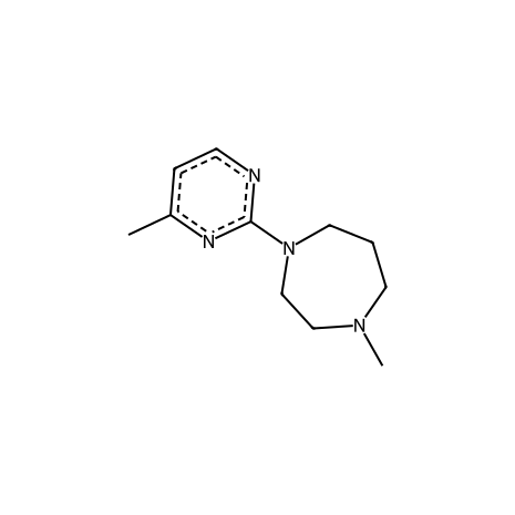 Cc1ccnc(N2CCCN(C)CC2)n1